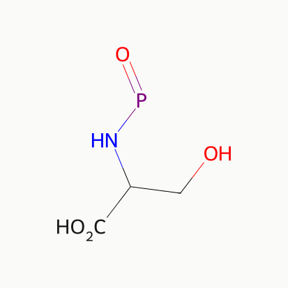 O=PNC(CO)C(=O)O